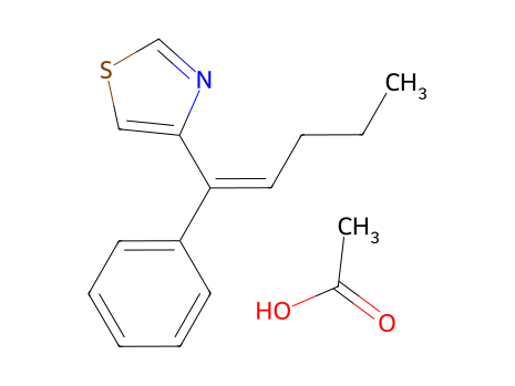 CC(=O)O.CCCC=C(c1ccccc1)c1cscn1